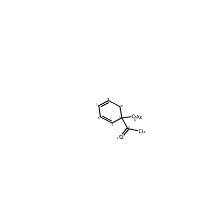 CC(=O)OC1(C(=O)Cl)C=CC=CC1